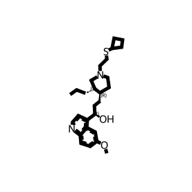 CCC[C@@H]1CN(CCSC2CCC2)CC[C@H]1CC[C@@H](O)c1ccnc2ccc(OC)cc12